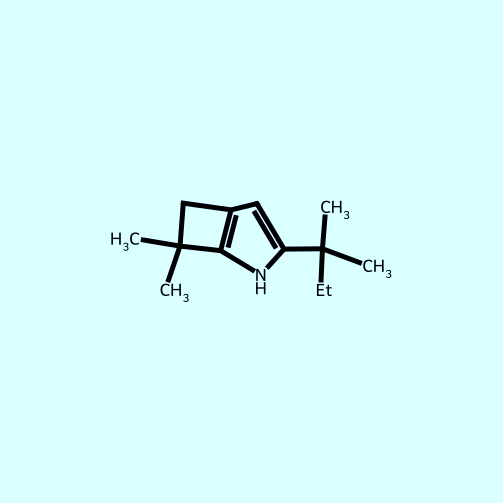 CCC(C)(C)c1cc2c([nH]1)C(C)(C)C2